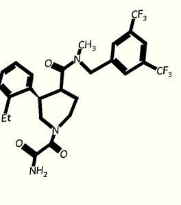 CCc1ccccc1[C@@H]1CN(C(=O)C(N)=O)CCC1C(=O)N(C)Cc1cc(C(F)(F)F)cc(C(F)(F)F)c1